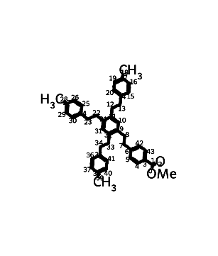 COC(=O)c1ccc(CCc2cc(CCc3ccc(C)cc3)c(CCc3ccc(C)cc3)cc2CCc2ccc(C)cc2)cc1